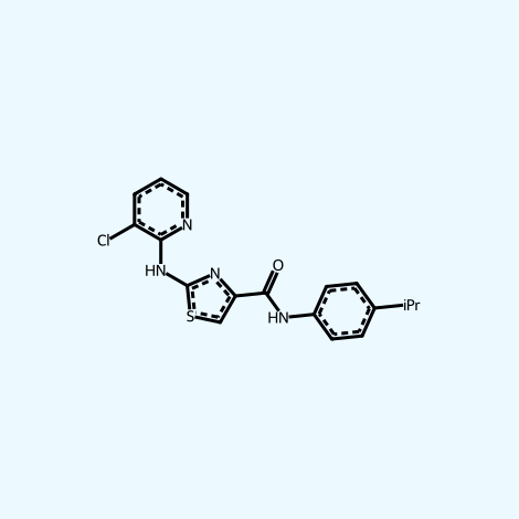 CC(C)c1ccc(NC(=O)c2csc(Nc3ncccc3Cl)n2)cc1